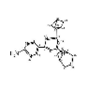 Nc1ncc(-c2cc(N3C4CCC3COC4)nc(C3CC4CC3C4)n2)cn1